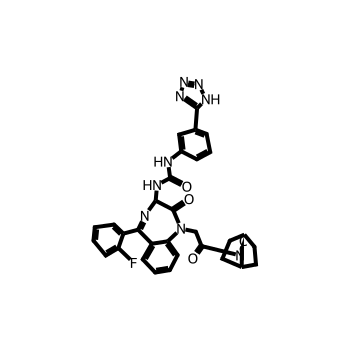 O=C(Nc1cccc(-c2nnn[nH]2)c1)NC1N=C(c2ccccc2F)c2ccccc2N(CC(=O)N2CC3CCC(CC3)C2)C1=O